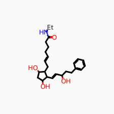 CCNC(=O)CCCC=CCC1C(O)CC(O)C1C=CC(O)CCc1ccccc1